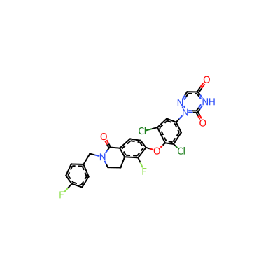 O=C1c2ccc(Oc3c(Cl)cc(-n4ncc(=O)[nH]c4=O)cc3Cl)c(F)c2CCN1Cc1ccc(F)cc1